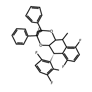 Cc1c(F)ccc(F)c1[C@H]1c2c(F)ccc(F)c2C(C)C(OC(=O)c2ccccc2)C1OC(=O)c1ccccc1